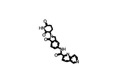 O=C1CCC(N2Cc3cc(NC(=O)c4ccc5cnccc5n4)ccc3C2=O)C(=O)N1